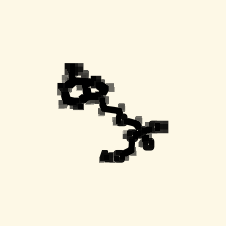 CC(=O)OCOP(=O)(O)COCCn1cnc2c(N)ncnc21